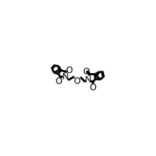 O=C1C2C3C=CC(C3)C2C(=O)N1CCOCCN1C(=O)C2C3C=CC(C3)C2C1=O